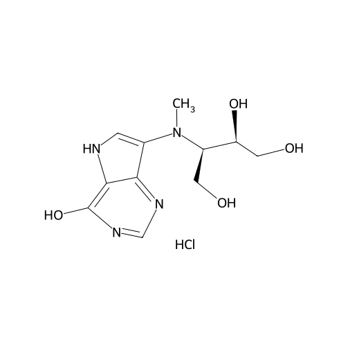 CN(c1c[nH]c2c(O)ncnc12)[C@H](CO)[C@@H](O)CO.Cl